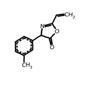 C=CC1=NC(c2cccc(C)c2)C(=O)O1